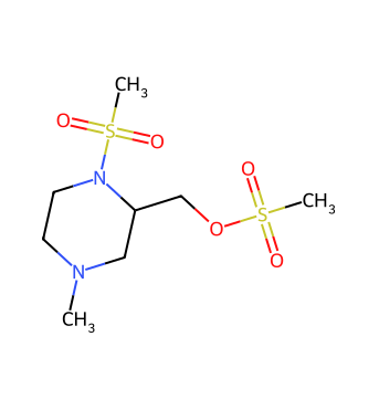 CN1CCN(S(C)(=O)=O)C(COS(C)(=O)=O)C1